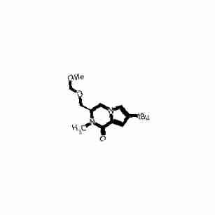 COCOC[C@H]1Cn2cc(C(C)(C)C)cc2C(=O)N1C